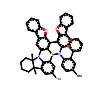 CC(C)(C)c1ccc(N2B3c4cc(C(C)(C)C)cc5c4N(c4cc6c(oc7ccccc76)c(c43)-c3c2ccc2c3oc3ccccc32)C2(C)CCCCC52C)c(-c2ccccc2)c1